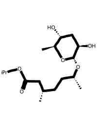 CC(C)OC(=O)C[C@@H](C)CC[C@@H](C)O[C@@H]1O[C@@H](C)[C@H](O)C[C@H]1O